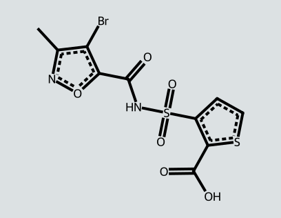 Cc1noc(C(=O)NS(=O)(=O)c2ccsc2C(=O)O)c1Br